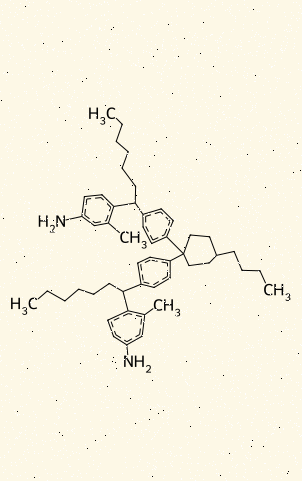 CCCCCCC(c1ccc(C2(c3ccc(C(CCCCCC)c4ccc(N)cc4C)cc3)CCC(CCCC)CC2)cc1)c1ccc(N)cc1C